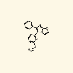 CSc1nccc(-c2c(-c3ccccc3)nc3occn23)n1